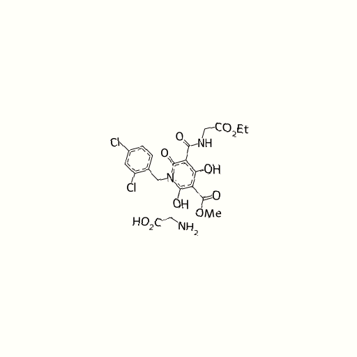 CCOC(=O)CNC(=O)c1c(O)c(C(=O)OC)c(O)n(Cc2ccc(Cl)cc2Cl)c1=O.NCC(=O)O